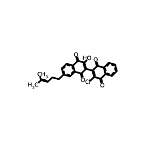 CC(C)=CCCc1ccc2c(c1)C(=O)C(C1=C(Cl)C(=O)c3ccccc3C1=O)=C(O)C2=O